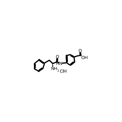 Cl.N[C@@H](Cc1ccccc1)C(=O)Nc1ccc(C(=O)O)cc1